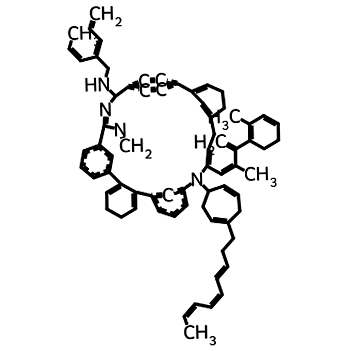 C=C/C=C(\C=C/C)CNC1/N=C(\N=C)c2cccc(c2)C2=CCCC=C2c2cccc(c2)N(C2C=CCC(CC/C=C/C=C\C=C/C)=CC2)C(/C=C(/C)C(=C)C2=C(C)C=CCC2)=C/CC2=CC(=CCC2)c2ccc1cc2